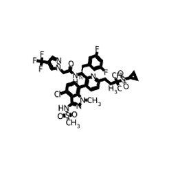 Cn1nc(NS(C)(=O)=O)c2c(Cl)ccc(-c3ccc(CCC(C)(C)S(=O)(=O)C4CC4)nc3[C@H](Cc3cc(F)cc(F)c3)NC(=O)Cn3cc(C(F)(F)F)cn3)c21